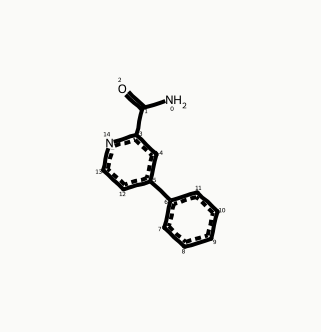 NC(=O)c1[c]c(-c2ccccc2)ccn1